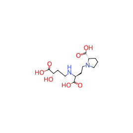 O=C(O)[C@H](CCN1CCC[C@H]1C(=O)O)NCC[C@H](O)C(=O)O